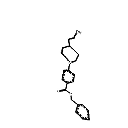 O=C(OCc1ccccc1)c1ccc(N2CCC(CCO)CC2)cc1